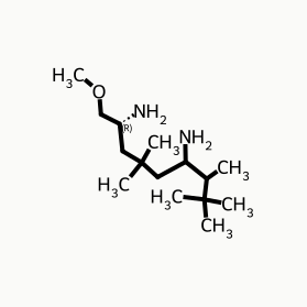 COC[C@H](N)CC(C)(C)CC(N)C(C)C(C)(C)C